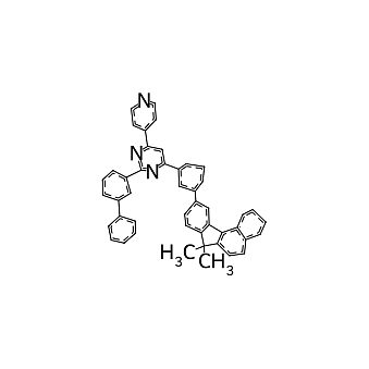 CC1(C)c2ccc(-c3cccc(-c4cc(-c5ccncc5)nc(-c5cccc(-c6ccccc6)c5)n4)c3)cc2-c2c1ccc1ccccc21